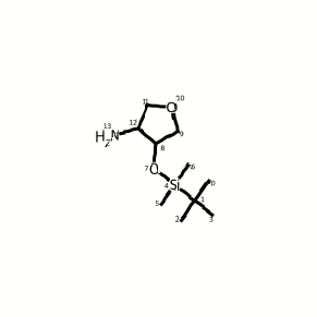 CC(C)(C)[Si](C)(C)OC1COCC1N